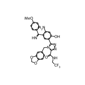 COc1ccc(C(=N)c2cc(-c3nnc(C(=O)NCC(F)(F)F)n3Cc3ccc4c(c3)OCO4)c(O)cc2N)cc1